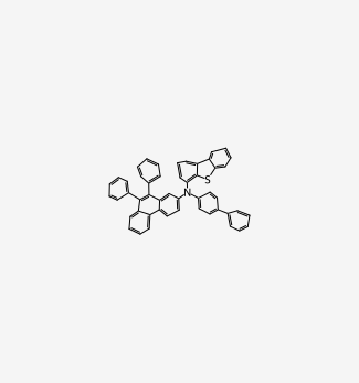 c1ccc(-c2ccc(N(c3ccc4c(c3)c(-c3ccccc3)c(-c3ccccc3)c3ccccc34)c3cccc4c3sc3ccccc34)cc2)cc1